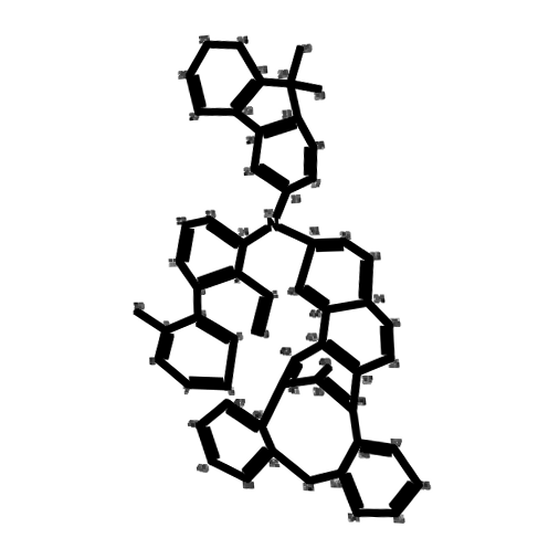 C=Cc1c(-c2ccccc2C)cccc1N(c1ccc2c(c1)C1=C(CCC=C1)C2(C)C)c1ccc2ccc3c4c(C)c(cc3c2c1)-c1ccccc1Cc1ccccc1-4